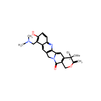 C=C1OCc2c(cc3n(c2=O)Cc2cc4c(CN(C)C)c(O)ccc4nc2-3)[C@]1(CC)OC